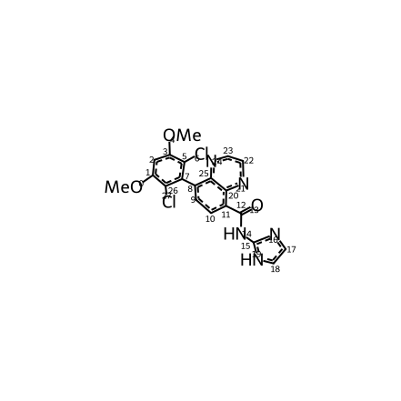 COc1cc(OC)c(Cl)c(-c2ccc(C(=O)Nc3ncc[nH]3)c3nccnc23)c1Cl